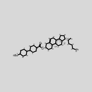 CCCCC1CCC(C2CCC(C(=O)O[C@H]3CC[C@@]4(C)C(=CCC5C4CC[C@@]4(C)C5CC[C@@H]4C(C)CCCC(C)C)C3)CC2)CC1